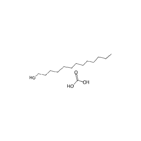 CCCCCCCCCCCCCO.O=C(O)O